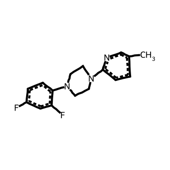 Cc1ccc(N2CCN(c3ccc(F)cc3F)CC2)nc1